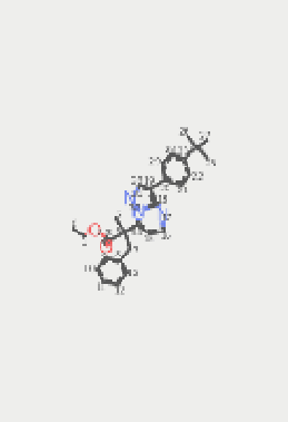 CCOC(=O)C(C)(Cc1ccccc1)c1ccnc2c(-c3ccc(C(C)(C)C)cc3)cnn12